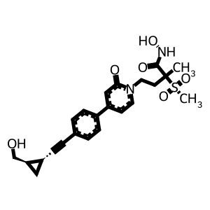 CC(CCn1ccc(-c2ccc(C#C[C@@H]3C[C@H]3CO)cc2)cc1=O)(C(=O)NO)S(C)(=O)=O